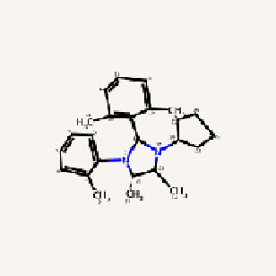 Cc1ccccc1N1C(c2c(C)cccc2C)N(C2CCCC2)C(C)[C@@H]1C